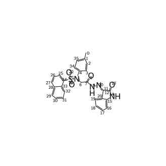 Cc1ccc(N(CC(=O)N/N=C2/C(=O)Nc3ccccc32)S(=O)(=O)c2cccc3ccccc23)cc1